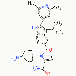 Cc1cc(-c2[nH]c3ccc(C4OC=C(C(N)=O)N4[C@H]4CC[C@H](N)CC4)cc3c2C(C)C)cc(C)n1